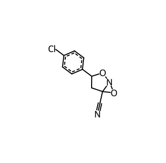 N#CC12CC(c3ccc(Cl)cc3)ON1O2